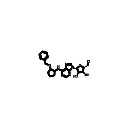 O[C@@H]1[C@H](O)[C@@H](CCl)O[C@H]1n1cnc2c(NC3CCCC3OCc3ccccc3)ncnc21